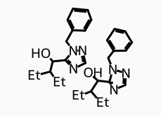 CCC(CC)C(O)c1ncnn1Cc1ccccc1.CCC(CC)C(O)c1ncnn1Cc1ccccc1